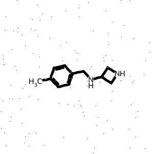 Cc1ccc(CNC2CNC2)cc1